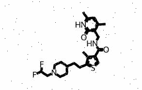 Cc1cc(C)c(CNC(=O)c2csc(CCC3CCN(CC(F)F)CC3)c2C)c(=O)[nH]1